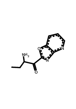 CCC(N)C(=O)c1nc2ncccc2o1